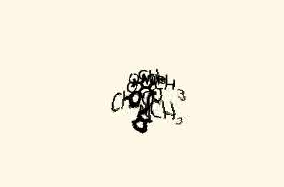 COC(=O)C1=C(C)NC(C)=C(C(=O)OC(C)n2cc3ccccc3c2)C1c1cccc(Cl)c1